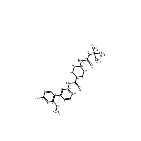 COc1cc(F)ccc1-c1ccnc(NC(=O)C2CCC(NC(=O)OC(C)(C)C)CC2)c1